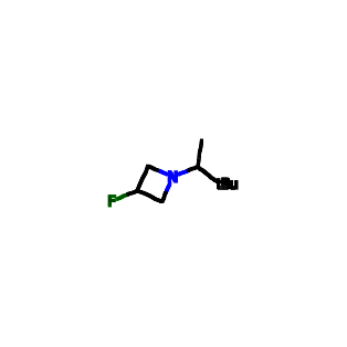 CC(N1CC(F)C1)C(C)(C)C